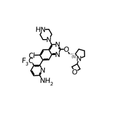 Nc1ccc(C(F)(F)F)c(-c2cc3nc(OC[C@@H]4CCCN4C4COC4)nc(N4CCNCC4)c3cc2Cl)n1